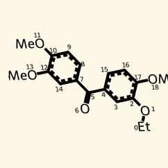 CCOc1cc(C(=O)c2ccc(OC)c(OC)c2)ccc1OC